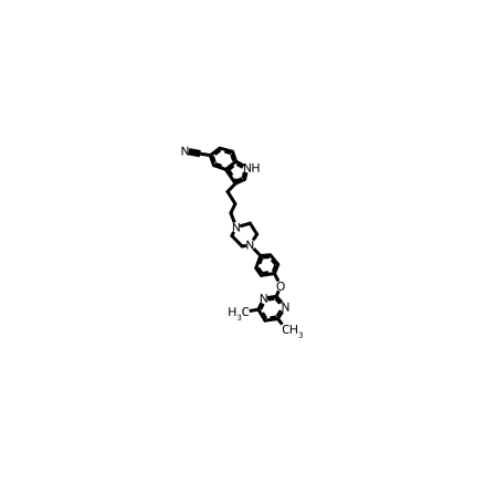 Cc1cc(C)nc(Oc2ccc(N3CCN(CCCc4c[nH]c5ccc(C#N)cc45)CC3)cc2)n1